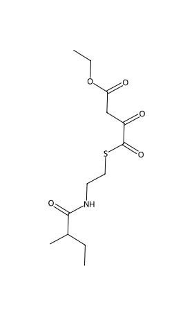 CCOC(=O)CC(=O)C(=O)SCCNC(=O)C(C)CC